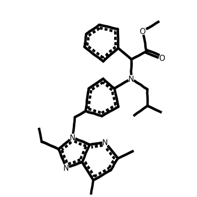 CCc1nc2c(C)cc(C)nc2n1Cc1ccc(N(CC(C)C)C(C(=O)OC)c2ccccc2)cc1